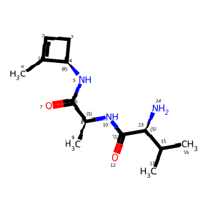 CC1=CC[C@H]1NC(=O)[C@H](C)NC(=O)[C@@H](N)C(C)C